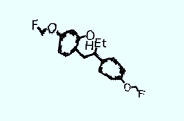 CCC(Cc1ccc(OCF)cc1O)c1ccc(OCF)cc1